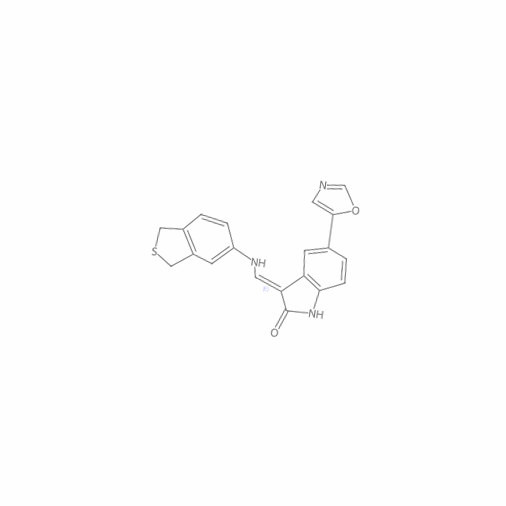 O=C1Nc2ccc(-c3cnco3)cc2/C1=C\Nc1ccc2c(c1)CSC2